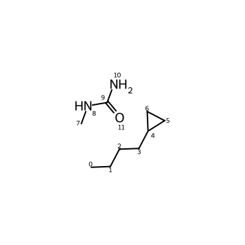 CCCCC1CC1.CNC(N)=O